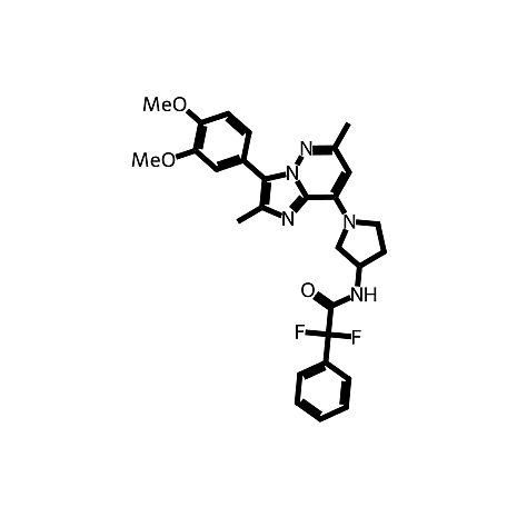 COc1ccc(-c2c(C)nc3c(N4CCC(NC(=O)C(F)(F)c5ccccc5)C4)cc(C)nn23)cc1OC